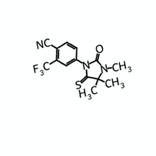 CN1C(=O)N(c2ccc(C#N)c(C(F)(F)F)c2)C(=S)C1(C)C